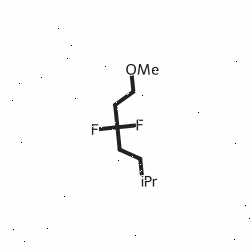 COCCC(F)(F)CCC(C)C